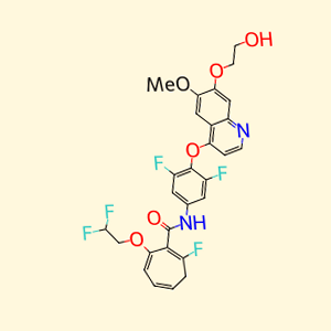 COc1cc2c(Oc3c(F)cc(NC(=O)C4=C(F)CC=CC=C4OCC(F)F)cc3F)ccnc2cc1OCCO